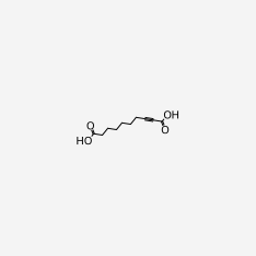 O=C(O)C#CCCCCCCC(=O)O